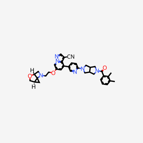 Cc1cccc(C(=O)N2CC3CN(c4ccc(-c5cc(OCCN6C[C@H]7OC[C@@H]8CC876)cn6ncc(C#N)c56)cn4)CC3C2)c1C